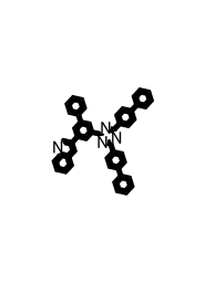 c1ccc(-c2ccc(-c3nc(-c4ccc(-c5ccccc5)cc4)nc(-c4cc(-c5ccccc5)cc(-c5cnc6ccccc6c5)c4)n3)cc2)cc1